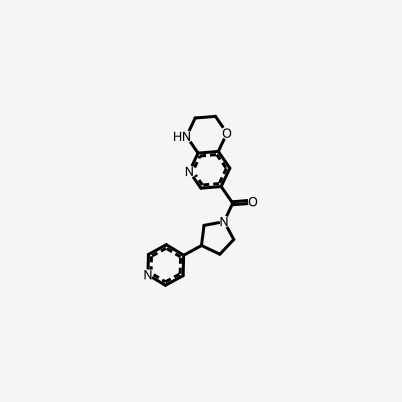 O=C(c1cnc2c(c1)OCCN2)N1CCC(c2ccncc2)C1